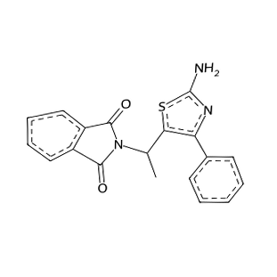 CC(c1sc(N)nc1-c1ccccc1)N1C(=O)c2ccccc2C1=O